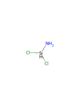 N[SiH](Cl)Cl